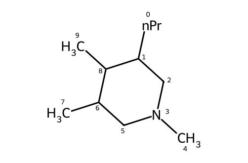 CCCC1CN(C)CC(C)C1C